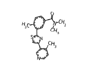 Cc1ccncc1-c1csc(-c2cc(C(=O)N(C)C)ccc2C)n1